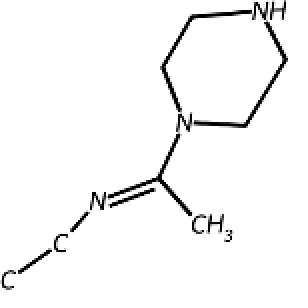 CC/N=C(\C)N1CCNCC1